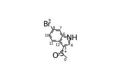 C[S+]([O-])c1c[nH]c2cc(Br)ccc12